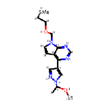 CCOC(C)n1cc(-c2ncnc3c2ccn3COCCSC)cn1